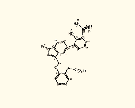 CC(C)n1nc(COc2ccccc2CC(=O)O)c2cc(-c3cccc(C(=N)N)c3O)ccc21